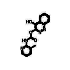 Cc1cccnc1NC(=O)Oc1nnc2ccccc2c1O